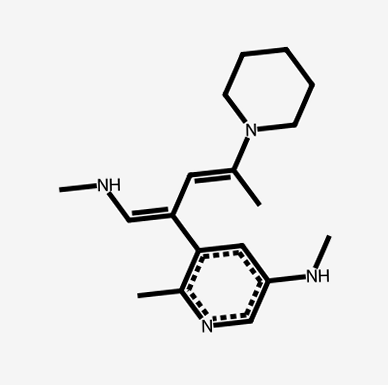 CN/C=C(\C=C(/C)N1CCCCC1)c1cc(NC)cnc1C